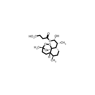 C[C@@H]([C@@H](O)OC(=O)CCC(=O)O)[C@@H]1CC[C@@H](C)[C@@H]2CC[C@@]3(C)OC[C@]12OO3